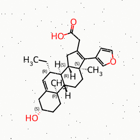 CC[C@H]1C=C2C[C@@H](O)CC[C@]2(C)[C@H]2CC[C@]3(C)C(c4ccoc4)=C(CC(=O)O)C[C@H]3[C@H]12